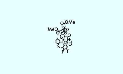 COC(=O)COP(=O)(OCC(=O)OC)Oc1c2n(ccc1=O)N([C@@H]1c3ccccc3SCc3c1ccc(F)c3F)[C@@H]1COCCN1C2=O